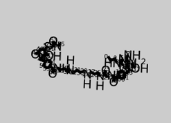 CCCNc1nc(N)c2nc(O)n(Cc3ccc(C(=O)NCC(=O)NCCCNCCCCNCCCNC(=O)C4CCC(CN5C(=O)CC(SCC(=O)NC)C5=O)CC4)cc3)c2n1